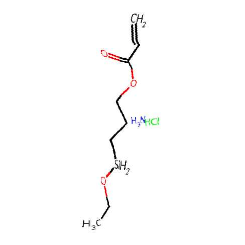 C=CC(=O)OCCC[SiH2]OCC.Cl.N